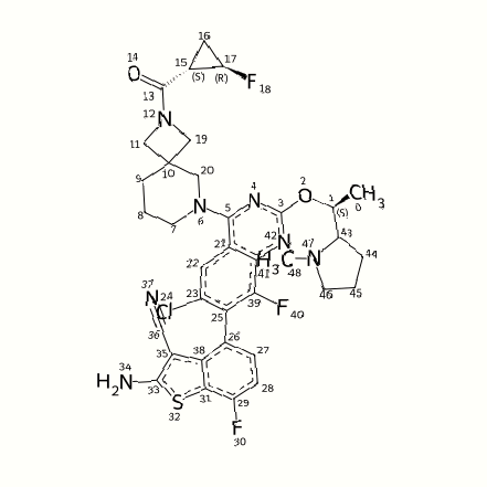 C[C@H](Oc1nc(N2CCCC3(CN(C(=O)[C@@H]4C[C@H]4F)C3)C2)c2cc(Cl)c(-c3ccc(F)c4sc(N)c(C#N)c34)c(F)c2n1)C1CCCN1C